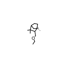 CCOCC1C(C)(C)C2CC[C@]1(C)C2